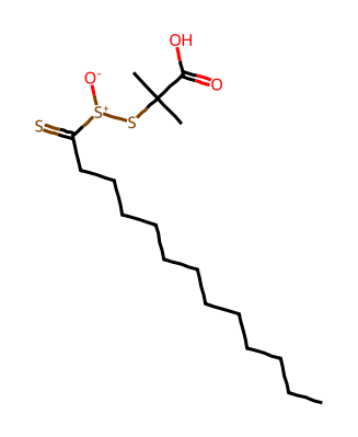 CCCCCCCCCCCCC(=S)[S+]([O-])SC(C)(C)C(=O)O